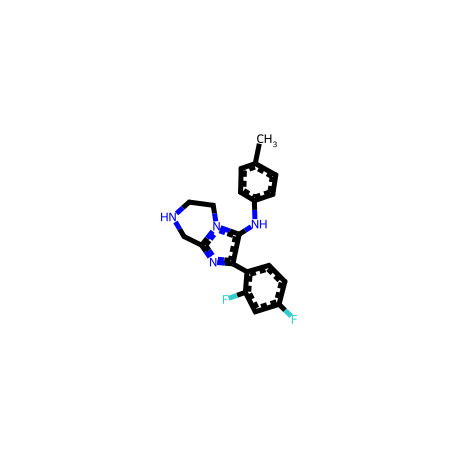 Cc1ccc(Nc2c(-c3ccc(F)cc3F)nc3n2CCNC3)cc1